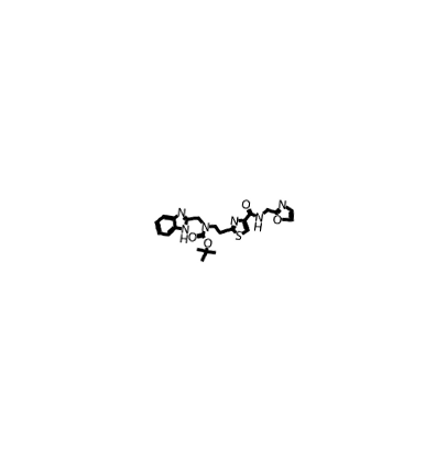 CC(C)(C)OC(=O)N(CCc1nc(C(=O)NCc2ncco2)cs1)Cc1nc2ccccc2[nH]1